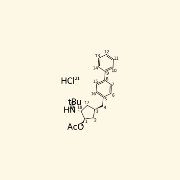 CC(=O)O[C@@H]1C[C@H](Cc2ccc(-c3ccccc3)cc2)C[C@H]1NC(C)(C)C.Cl